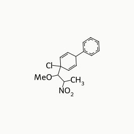 COC(C(C)[N+](=O)[O-])C1(Cl)C=CC(c2ccccc2)C=C1